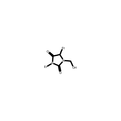 CCC1C(=O)N(CC)C(=O)N1CO